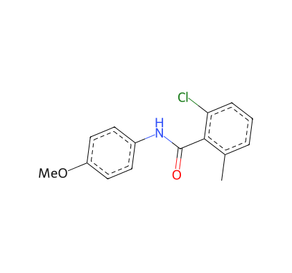 COc1ccc(NC(=O)c2c(C)cccc2Cl)cc1